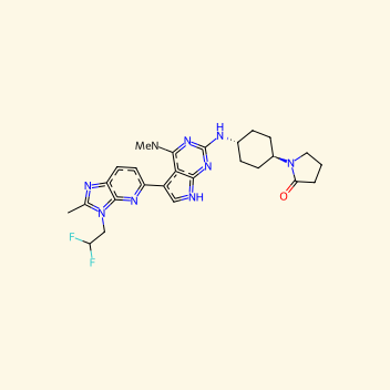 CNc1nc(N[C@H]2CC[C@H](N3CCCC3=O)CC2)nc2[nH]cc(-c3ccc4nc(C)n(CC(F)F)c4n3)c12